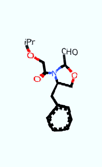 CC(C)OCC(=O)N1C(Cc2ccccc2)COC1C=O